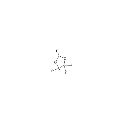 FC1OC(F)(F)C(F)(F)O1